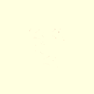 Cc1ccc(SN2CCN(c3nc(Oc4ccc(F)cc4)cc(C(C)C)n3)CC2)cc1